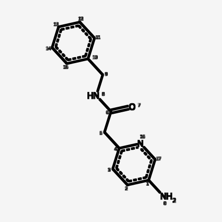 Nc1ccc(CC(=O)NCc2ccccc2)nc1